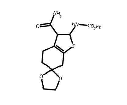 CCOC(=O)NC1SC2=C(CCC3(C2)OCCO3)C1C(N)=O